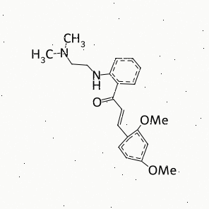 COc1ccc(C=CC(=O)c2ccccc2NCCN(C)C)c(OC)c1